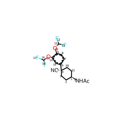 CC(=O)N[C@H]1CC[C@@](C#N)(c2ccc(OC(F)F)c(OC(F)F)c2)CC1